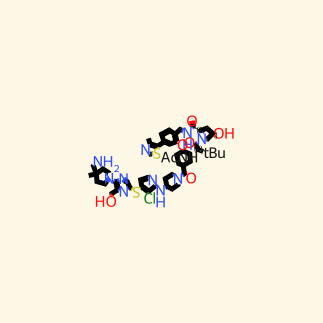 CC(=O)N[C@H](C(=O)N1C[C@H](O)C[C@H]1C(=O)NCc1ccc(-c2scnc2C)cc1OC1CCC(C(=O)N2CCC(Nc3nccc(Sc4cnc(N5CCC(C)(CN)CC5)c(CO)n4)c3Cl)CC2)CC1)C(C)(C)C